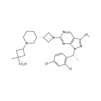 C[C@H](c1ccc(Cl)cc1Cl)n1nc(C(F)(F)F)c2cnc(N3CC([C@H]4CCCN(C5CC(C)(C(=O)O)C5)C4)C3)nc21